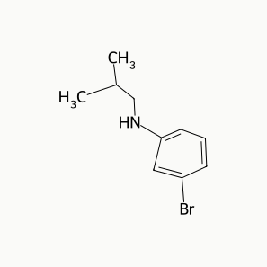 CC(C)CNc1cccc(Br)c1